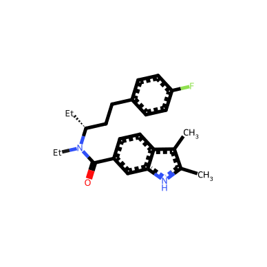 CC[C@H](CCc1ccc(F)cc1)N(CC)C(=O)c1ccc2c(C)c(C)[nH]c2c1